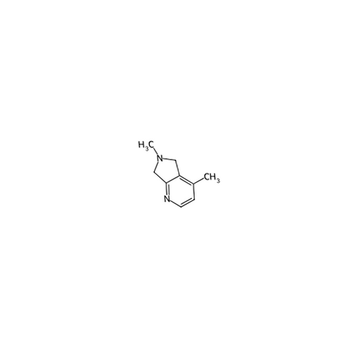 Cc1ccnc2c1CN(C)C2